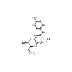 C=CC(=O)N(CC)CC(=O)N[C@@H](Cc1ccc(Cl)cc1)B(O)O